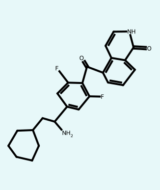 NC(CC1CCCCC1)c1cc(F)c(C(=O)c2cccc3c(=O)[nH]ccc23)c(F)c1